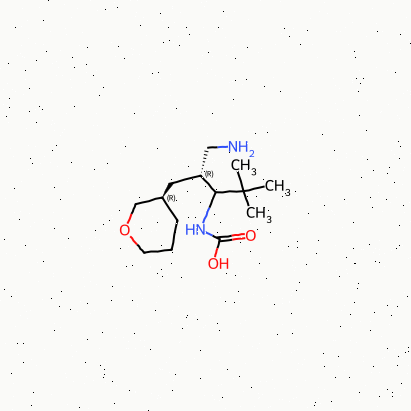 CC(C)(C)C(NC(=O)O)[C@@H](CN)C[C@H]1CCCOC1